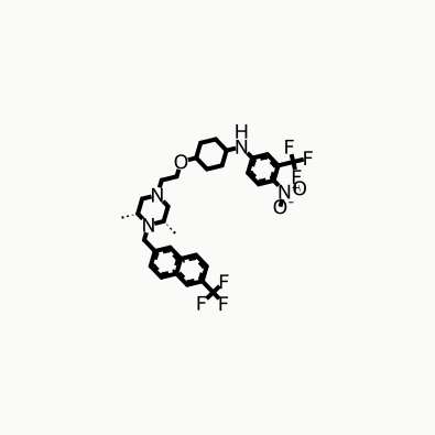 C[C@@H]1CN(CCOC2CCC(Nc3ccc([N+](=O)[O-])c(C(F)(F)F)c3)CC2)C[C@H](C)N1Cc1ccc2cc(C(F)(F)F)ccc2c1